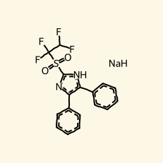 O=S(=O)(c1nc(-c2ccccc2)c(-c2ccccc2)[nH]1)C(F)(F)C(F)F.[NaH]